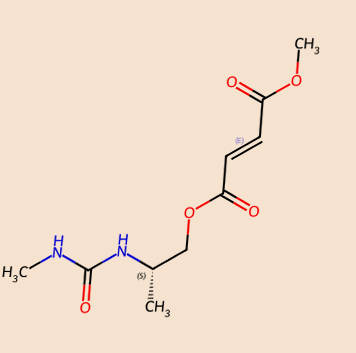 CNC(=O)N[C@@H](C)COC(=O)/C=C/C(=O)OC